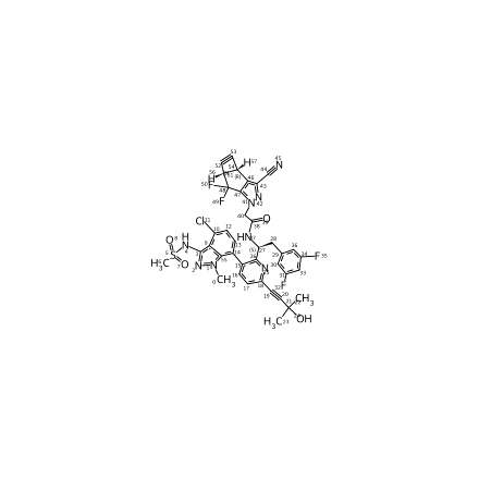 Cn1nc(NS(C)(=O)=O)c2c(Cl)ccc(-c3ccc(C#CC(C)(C)O)nc3[C@H](Cc3cc(F)cc(F)c3)NC(=O)Cn3nc(C#N)c4c3C(F)(F)[C@@H]3C#C[C@H]43)c21